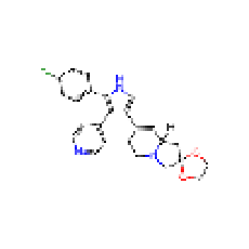 Fc1ccc(-c2[nH]cc(C3=C[C@@H]4CC5(CN4CC3)OCCO5)c2-c2ccncc2)cc1